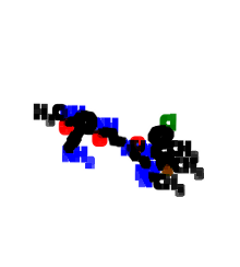 CNC(=O)c1ccc(NC(=O)CCCNC(=O)C[C@@H]2N=C(c3ccc(Cl)cc3)c3c(sc(C)c3C)-n3c(C)nnc32)cc1C#CCN